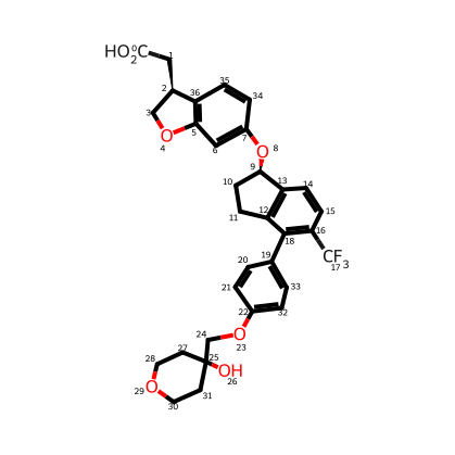 O=C(O)C[C@@H]1COc2cc(O[C@@H]3CCc4c3ccc(C(F)(F)F)c4-c3ccc(OCC4(O)CCOCC4)cc3)ccc21